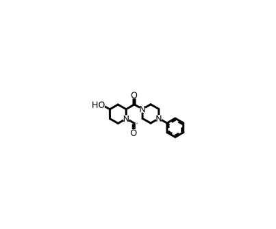 O=[C]N1CCC(O)CC1C(=O)N1CCN(c2ccccc2)CC1